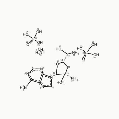 N.N.Nc1ncnc2c1ncn2[C@@H]1O[C@H](C(N)O)C[C@@]1(N)O.O=P(O)(O)O.O=P(O)(O)O